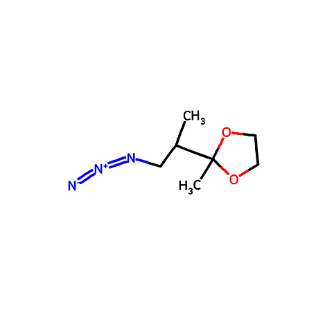 CC(CN=[N+]=[N-])C1(C)OCCO1